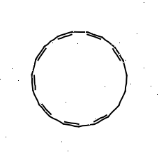 [C]1=C/C=C\C=C/C=C\C=C/C=C\C=C/C=C\CCC\1